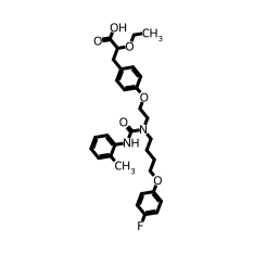 CCOC(Cc1ccc(OCCN(CCCCOc2ccc(F)cc2)C(=O)Nc2ccccc2C)cc1)C(=O)O